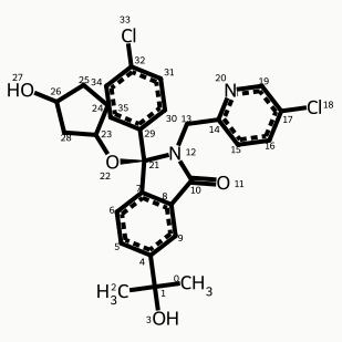 CC(C)(O)c1ccc2c(c1)C(=O)N(Cc1ccc(Cl)cn1)[C@@]2(OC1CCC(O)C1)c1ccc(Cl)cc1